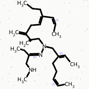 C=C(CC=C(/C=C\C)CCC)C(=C)CN(C/C(=C/C)CC/C=C\C)/N=C(\CC)CNC